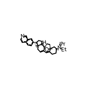 CCN(C(C)C)[C@@H]1CCC2=CC3=CC[C@]4(C)[C@@H](c5ccc6ccncc6c5)CC[C@H]4[C@@]34CC[C@]2(C1)O4